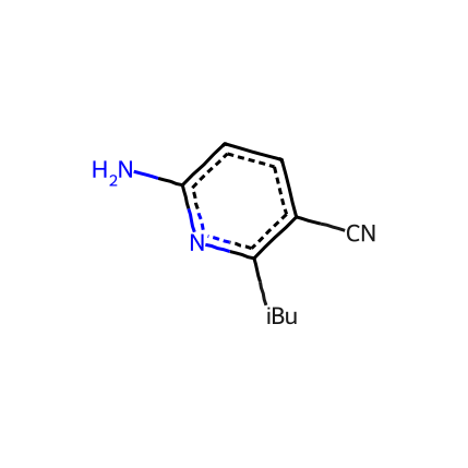 CCC(C)c1nc(N)ccc1C#N